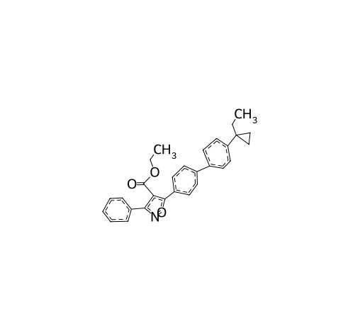 CCOC(=O)c1c(-c2ccccc2)noc1-c1ccc(-c2ccc(C3(CC)CC3)cc2)cc1